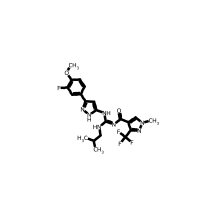 COc1ccc(-c2cc(N/C(=N\C(=O)c3cn(C)nc3C(F)(F)F)NCC(C)C)[nH]n2)cc1F